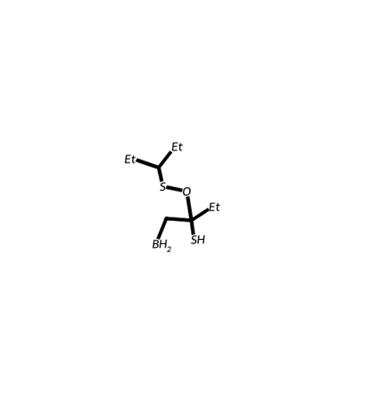 BCC(S)(CC)OSC(CC)CC